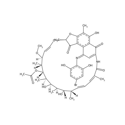 CO[C@H]1/C=C/O[C@@]2(C)Oc3c(C)c(O)c4c(c3C2=O)/C(=N/c2c(O)cc(Br)cc2O)C=C(NC(=O)/C(C)=C\C=C\[C@H](C)[C@H](O)[C@@H](C)[C@@H](O)[C@@H](C)[C@H](OC(C)=O)[C@@H]1C)C4=O